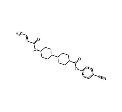 CC=CC(=O)O[C@H]1CC[C@H]([C@H]2CC[C@H](C(=O)Oc3ccc(C#N)cc3)CC2)CC1